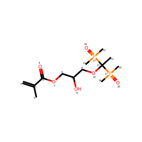 C=C(C)C(=O)OCC(O)COC(C)(P(C)(C)=O)P(C)(C)=O